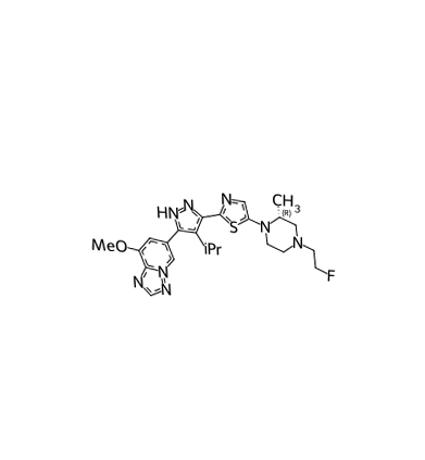 COc1cc(-c2[nH]nc(-c3ncc(N4CCN(CCF)C[C@H]4C)s3)c2C(C)C)cn2ncnc12